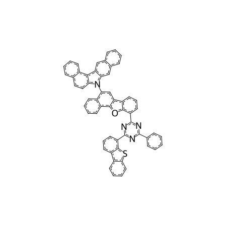 c1ccc(-c2nc(-c3cccc4c3oc3c5ccccc5c(-n5c6cc7ccccc7cc6c6c7ccccc7ccc65)cc43)nc(-c3cccc4c3sc3ccccc34)n2)cc1